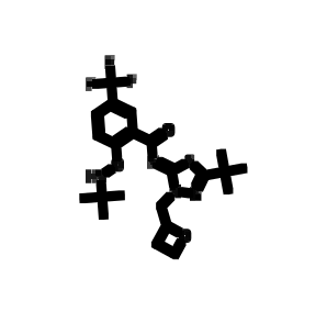 CC(C)(C)NOc1ccc(C(F)(F)F)cc1C(=O)N=c1sc(C(C)(C)C)nn1CC1CCO1